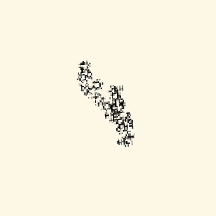 COc1cc(CN2CCN(C3CC4(CCN(c5ccc(C(=O)NS(=O)(=O)c6cc7c(c([N+](=O)[O-])c6)N[C@H](CN6C[C@@H]8C[C@H]6CO8)CO7)c(N6c7cc8cc[nH]c8nc7O[C@H]7COCC[C@@H]76)c5)CC4)C3)[C@H](c3ccccc3C)C2)cnc1N1CCOCC1